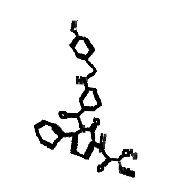 CN[C@@H](C)C(=O)Nc1ccc(-c2ccccc2)n(C(=O)c2cccc(NCc3ccc(F)cc3)c2)c1=O